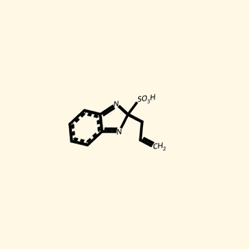 C=CCC1(S(=O)(=O)O)N=c2ccccc2=N1